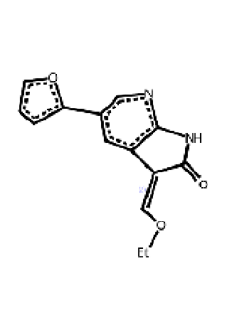 CCO/C=C1\C(=O)Nc2ncc(-c3ccco3)cc21